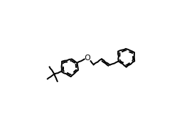 CC(C)(C)c1ccc(OCC=Cc2ccccc2)cc1